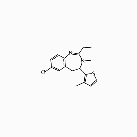 CCC1=Nc2ccc(Cl)cc2CC(c2sccc2C)N1C